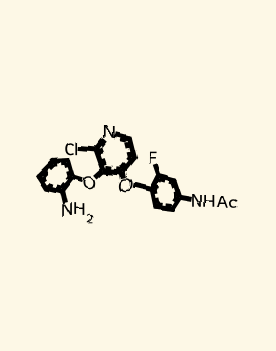 CC(=O)Nc1ccc(Oc2ccnc(Cl)c2Oc2ccccc2N)c(F)c1